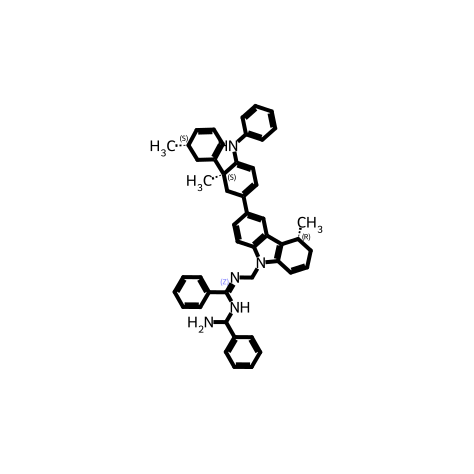 C[C@@H]1C=CC=C([C@]2(C)CC(c3ccc4c(c3)c3c(n4C/N=C(\NC(N)c4ccccc4)c4ccccc4)C=CC[C@H]3C)=CC=C2Nc2ccccc2)C1